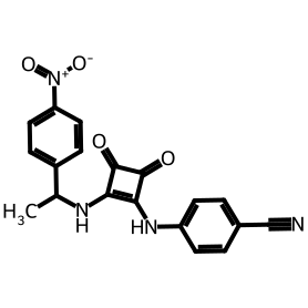 CC(Nc1c(Nc2ccc(C#N)cc2)c(=O)c1=O)c1ccc([N+](=O)[O-])cc1